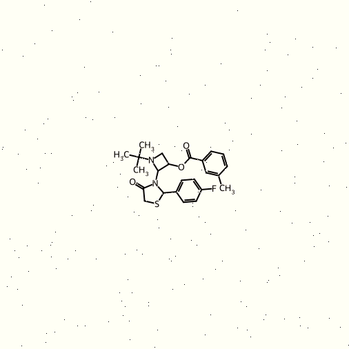 Cc1cccc(C(=O)OC2CN(C(C)(C)C)C2N2C(=O)CSC2c2ccc(F)cc2)c1